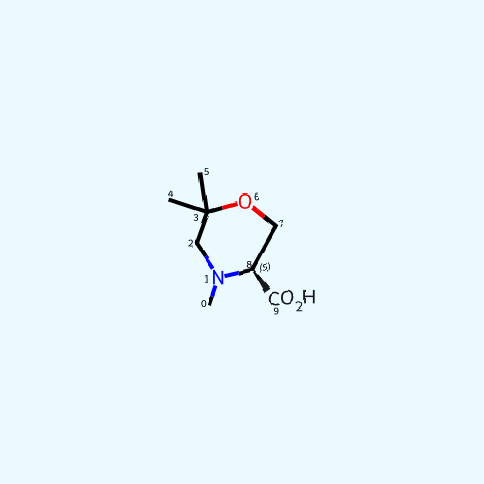 CN1CC(C)(C)OC[C@H]1C(=O)O